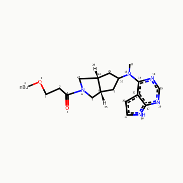 CCCCOCCC(=O)N1C[C@H]2CC(N(C)c3ncnc4[nH]ccc34)C[C@H]2C1